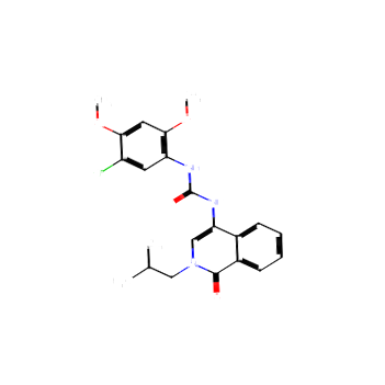 COc1cc(OC)c(NC(=O)Nc2cn(CC(C)C)c(=O)c3ccccc23)cc1Cl